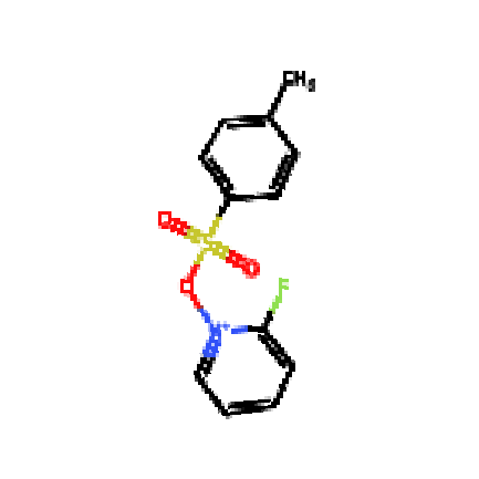 Cc1ccc(S(=O)(=O)O[n+]2ccccc2F)cc1